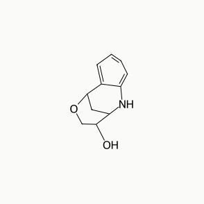 OC1COC2CC1Nc1ccccc12